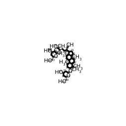 C#C[C@H](CC[C@@H](O[C@H]1C[C@@H](O)C[C@@H](CO)O1)C(C)(C)O)C1CC[C@@]2(C)C3CC=C4C(CC[C@H](O[C@H]5C[C@@H](O)C[C@@H](CO)O5)C4(C)C)[C@]3(C)CC[C@]12C